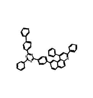 c1ccc(-c2ccc(-c3nc(-c4ccccc4)nc(-c4ccc(-c5ccc6ccc7nc(-c8ccccc8)cc(-c8ccccc8)c7c6c5)cc4)n3)cc2)cc1